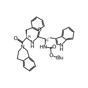 CC(C)(C)OC(=O)N[C@@H](Cc1c[nH]c2ccccc12)C(=O)N[C@H](Cc1ccccc1)C(=O)N1CCc2ccccc2C1